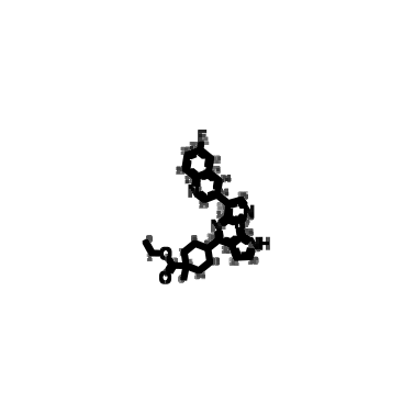 CCOC(=O)C1(C)CCC(c2nc3c(-c4cnc5ccc(F)cc5c4)cnn3c3[nH]ccc23)CC1